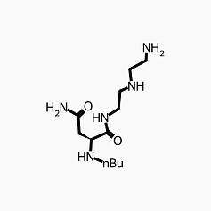 CCCCN[C@@H](CC(N)=O)C(=O)NCCNCCN